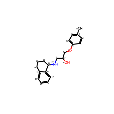 N#Cc1ccc(OCC(O)CNC2CCCc3ccccc32)cc1